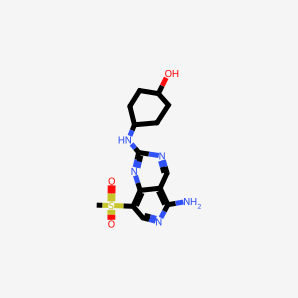 CS(=O)(=O)c1cnc(N)c2cnc(NC3CCC(O)CC3)nc12